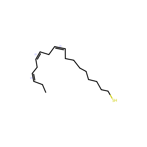 CC/C=C\C/C=C\C/C=C\CCCCCCCCS